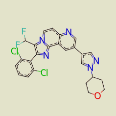 FC(F)c1c(-c2c(Cl)cccc2Cl)nc2c3cc(-c4cnn(C5CCOCC5)c4)cnc3ccn12